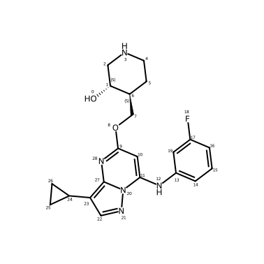 O[C@@H]1CNCC[C@H]1COc1cc(Nc2cccc(F)c2)n2ncc(C3CC3)c2n1